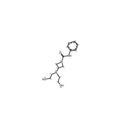 O=C(Nc1ccccc1)N1CC(N(CCO)CCO)C1